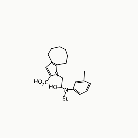 CCN(c1cccc(C)c1)C(O)Cn1c(C(=O)O)cc2c1CCCCCC2